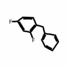 Fc1ccc(Cc2ccccc2)c(F)c1